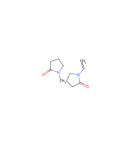 C=CN1CCCC1=O.CN1CCCC1=O